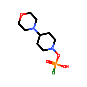 O=P(O)(Cl)ON1CCC(N2CCOCC2)CC1